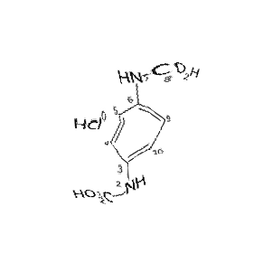 Cl.O=C(O)Nc1ccc(NC(=O)O)cc1